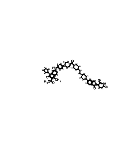 CC(=O)c1c(C)c2cnc(Nc3ccc(N4CCN(C(=O)N5CCC(CCN6CCN(c7ccc8c(c7)CN(C7CCC(=O)NC7=O)C8=O)CC6)CC5)CC4)cn3)nc2n(C2CCCC2)c1=O